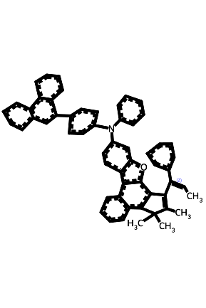 C/C=C(\C1=C(C)C(C)(C)c2c1c1oc3cc(N(c4ccccc4)c4ccc(-c5cc6ccccc6c6ccccc56)cc4)ccc3c1c1ccccc21)c1ccccc1